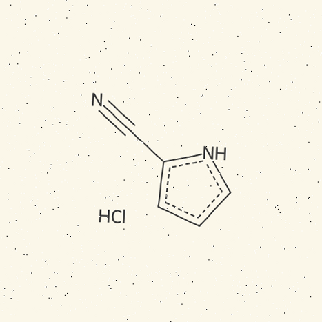 Cl.N#Cc1ccc[nH]1